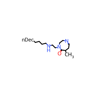 CCCCCCCCCCCCCCNCCN1CCN=CCC(C)C1=O